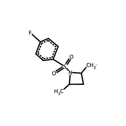 [CH2]C1CC(C)N1S(=O)(=O)c1ccc(F)cc1